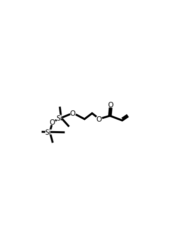 C=CC(=O)OCCO[Si](C)(C)O[Si](C)(C)C